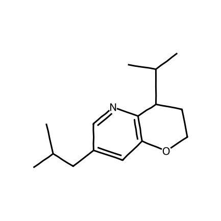 CC(C)Cc1cnc2c(c1)OCCC2C(C)C